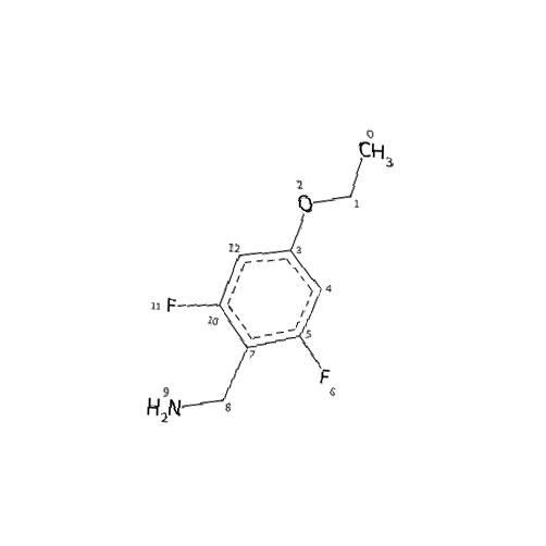 CCOc1cc(F)c(CN)c(F)c1